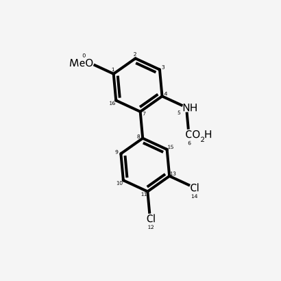 COc1ccc(NC(=O)O)c(-c2ccc(Cl)c(Cl)c2)c1